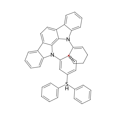 C1=CC(n2c3ccccc3c3ccc4c5ccccc5n(-c5cccc([SH](c6ccccc6)c6ccccc6)c5)c4c32)=CCC1